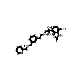 O=c1[nH]c2c(O)ccc(C(O)(O)CNCCc3cccc(CNCc4ccccn4)c3)c2s1